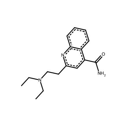 CCN(CC)CCc1cc(C(N)=O)c2ccccc2n1